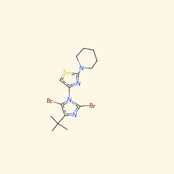 CC(C)(C)c1nc(Br)n(-c2csc(N3CCCCC3)n2)c1Br